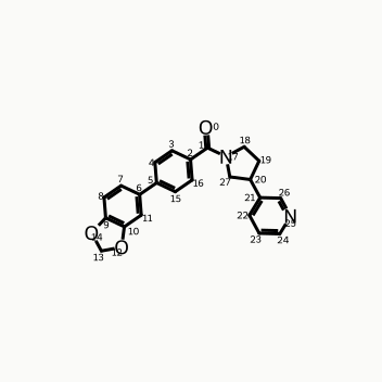 O=C(c1ccc(-c2ccc3c(c2)OCO3)cc1)N1CCC(c2cccnc2)C1